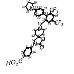 O=C(O)c1ccc(N2CC3(CCN(Cc4cc(C(F)(F)F)cc(C(F)(F)F)c4-c4ccc(N5CCCC5)nc4)CC3)OC2=O)cc1